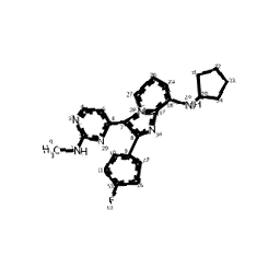 CNc1nccc(-c2c(-c3ccc(F)cc3)nc3c(NC4CCCC4)cccn23)n1